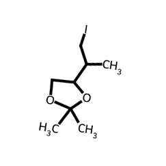 CC(CI)C1COC(C)(C)O1